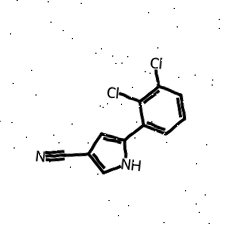 N#Cc1c[nH]c(-c2cccc(Cl)c2Cl)c1